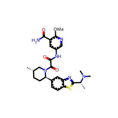 COc1ncc(NC(=O)C(=O)N2C[C@@H](C)CC[C@@H]2c2ccc3sc([C@@H](C)N(C)C)nc3c2)cc1C(N)=O